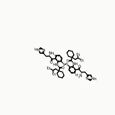 CCC(CC)CC1(C(=O)Nc2c(SSc3cccc(C(=O)[C@@H](N)Cc4c[nH]cn4)c3NC(=O)C3(CC(CC)CC)CCCCC3)cccc2C(=O)[C@@H](N)Cc2c[nH]cn2)CCCCC1